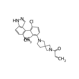 C=CC(=O)N1CC2(CCN(c3ccc(Cl)c(-c4c(C)ccc5[nH]ncc45)c3C#N)C2)C1